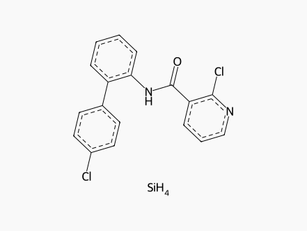 O=C(Nc1ccccc1-c1ccc(Cl)cc1)c1cccnc1Cl.[SiH4]